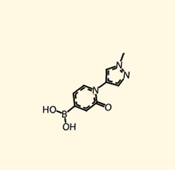 Cn1cc(-n2ccc(B(O)O)cc2=O)cn1